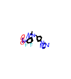 Cc1nc2c([N+](=O)[O-])c(F)c(F)cc2n1Cc1ccc(-n2cncn2)cc1